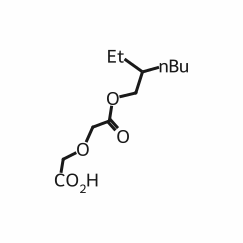 CCCCC(CC)COC(=O)COCC(=O)O